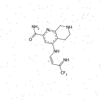 N=C(/C=C\Nc1cc(C(N)=O)nc2c1CCNC2)C(F)(F)F